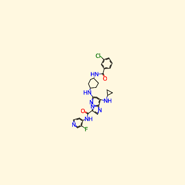 O=C(N[C@H]1CC[C@H](Nc2cc(NC3CC3)c3ncc(C(=O)Nc4ccncc4F)n3n2)CC1)c1cccc(Cl)c1